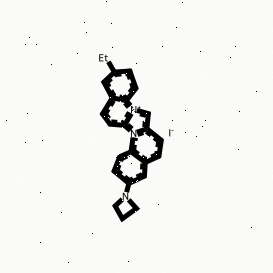 CCc1ccc2c(ccc3n4c(ccc5cc(N6CCC6)ccc54)c[n+]23)c1.[I-]